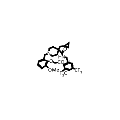 COc1cccc(CN2CCC(CC3CC3)(C(=O)NCc3cc(C(F)(F)F)cc(C(F)(F)F)c3)CC2)c1OCC(=O)O